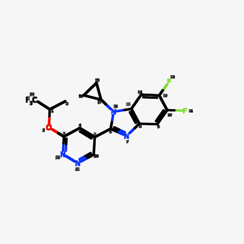 CC(Oc1cc(-c2nc3cc(F)c(F)cc3n2C2CC2)cnn1)C(F)(F)F